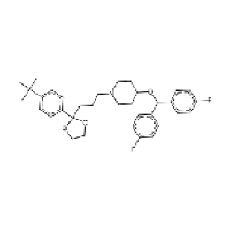 CC(C)(C)c1ccc(C2(CCCN3CCC(OC(c4ccc(F)cc4)c4ccc(F)cc4)CC3)OCCO2)cc1